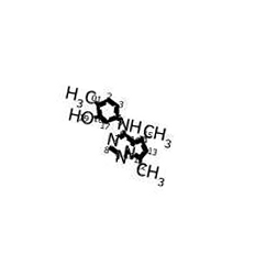 Cc1ccc(Nc2ncnn3c(C)cc(C)c23)cc1O